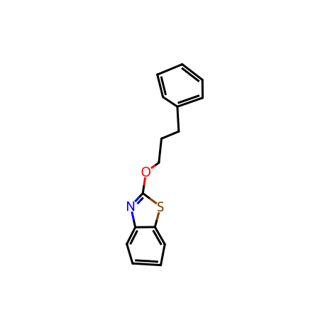 c1ccc(CCCOc2nc3ccccc3s2)cc1